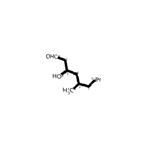 CC(C)CC(C)CC(O)CC=O